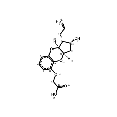 C=CC[C@H]1[C@@H]2Oc3cccc(OCC(=O)O)c3O[C@@H]2C[C@@H]1O